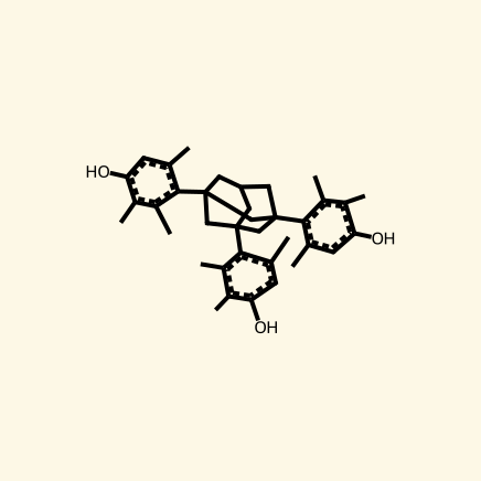 Cc1cc(O)c(C)c(C)c1C12CC3CC(c4c(C)cc(O)c(C)c4C)(C1)CC(c1c(C)cc(O)c(C)c1C)(C3)C2